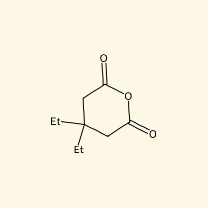 CCC1(CC)CC(=O)OC(=O)C1